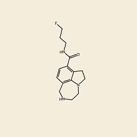 O=C(NCCCF)c1ccc2c3c1CCN3CCNC2